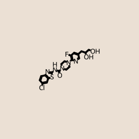 O=C(Nc1nc2ccc(Cl)cc2s1)N1CCN(c2ncc(CC(O)CO)cc2F)CC1